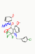 COc1cccc(NC(=O)C(=O)c2c(C(F)(F)F)n(Cc3ccc(Cl)cc3)c3ccc(OC)cc23)c1